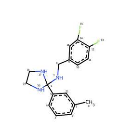 Cc1cccc(C2(NCc3ccc(F)c(F)c3)NCCN2)c1